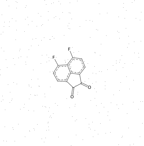 O=C1C(=O)c2ccc(F)c3c(F)ccc1c23